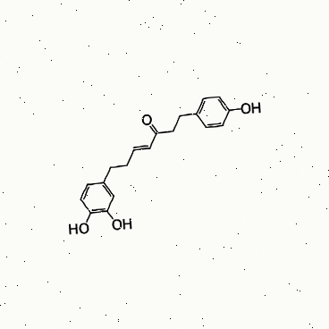 O=C(/C=C/CCc1ccc(O)c(O)c1)CCc1ccc(O)cc1